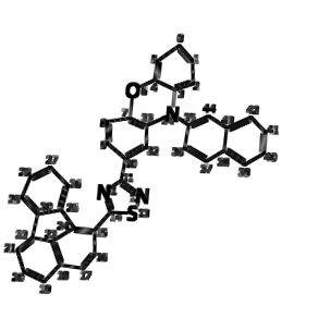 c1ccc2c(c1)Oc1ccc(-c3nsc(-c4ccc5cccc6c5c4-c4ccccc4-6)n3)cc1N2c1ccc2ccccc2c1